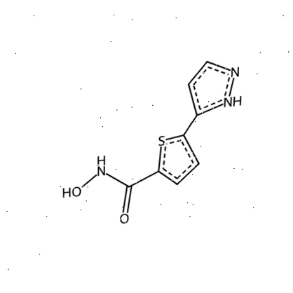 O=C(NO)c1ccc(-c2ccn[nH]2)s1